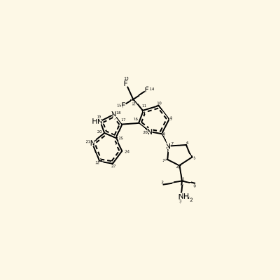 CC(C)(N)C1CCN(c2ccc(C(F)(F)F)c(-c3n[nH]c4ncccc34)n2)C1